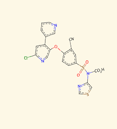 N#Cc1cc(S(=O)(=O)N(C(=O)O)c2cscn2)ccc1Oc1cnc(Cl)cc1-c1cccnc1